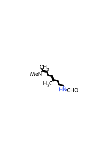 CN/C(C)=C\C/C=C(\C)CCCNC=O